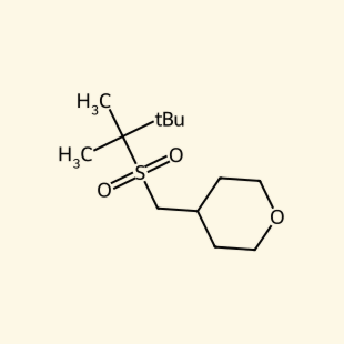 CC(C)(C)C(C)(C)S(=O)(=O)CC1CCOCC1